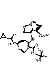 [2H]C([2H])([2H])NC(=O)c1cnc(NC(=O)C2CC2)cc1Nc1cnn2cccc(OC)c12